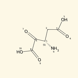 N[C@@H](CC(=O)O)C(=O)C(=O)O